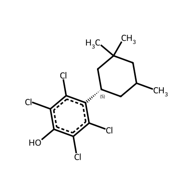 CC1C[C@H](c2c(Cl)c(Cl)c(O)c(Cl)c2Cl)CC(C)(C)C1